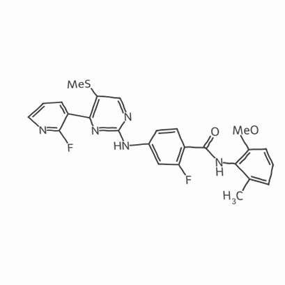 COc1cccc(C)c1NC(=O)c1ccc(Nc2ncc(SC)c(-c3cccnc3F)n2)cc1F